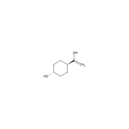 C=C(O)[C@H]1CC[C@H](O)CC1